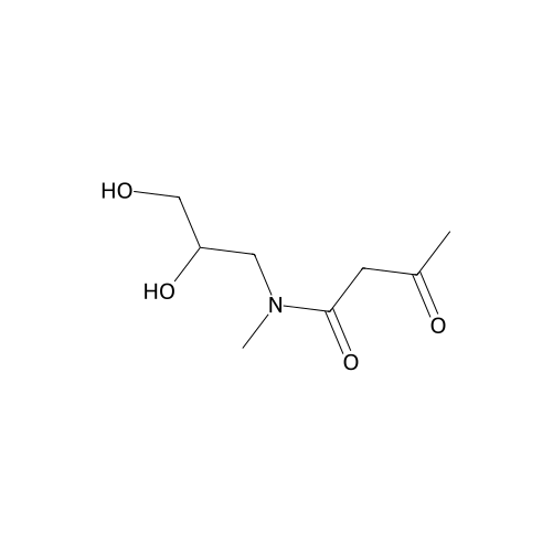 CC(=O)CC(=O)N(C)CC(O)CO